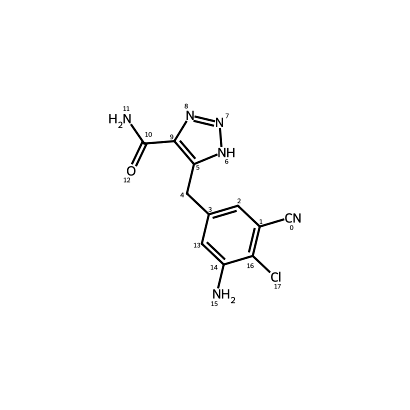 N#Cc1cc(Cc2[nH]nnc2C(N)=O)cc(N)c1Cl